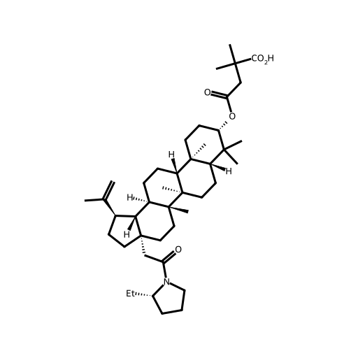 C=C(C)[C@@H]1CC[C@]2(CC(=O)N3CCC[C@@H]3CC)CC[C@]3(C)[C@H](CC[C@@H]4[C@@]5(C)CC[C@H](OC(=O)CC(C)(C)C(=O)O)C(C)(C)[C@@H]5CC[C@]43C)[C@@H]12